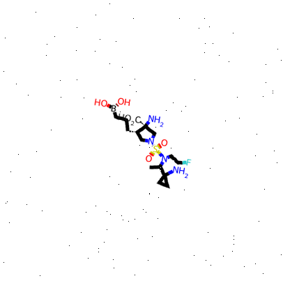 CC(N(CCF)S(=O)(=O)N1C[C@H](CCCB(O)O)[C@](N)(C(=O)O)C1)C1(N)CC1